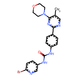 Cc1cnc(-c2ccc(NC(=O)Nc3ccc(Br)nc3)cc2)nc1N1CCOCC1